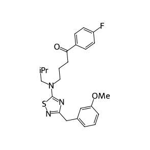 COc1cccc(Cc2nsc(N(CCCC(=O)c3ccc(F)cc3)CC(C)C)n2)c1